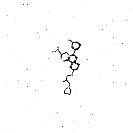 CC(COc1ccc2cc(-c3cccc(Cl)c3)n(CC(=O)NC(C)C)c(=O)c2c1)CN1CCCC1